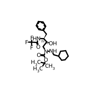 CC(C)(C)OC(=O)N(C[C@H](O)[C@H](Cc1ccccc1)NC(=O)C(F)(F)F)NCC1CCCCC1